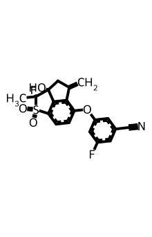 C=C1CC2(O)c3c(ccc(Oc4cc(F)cc(C#N)c4)c31)S(=O)(=O)C2(C)F